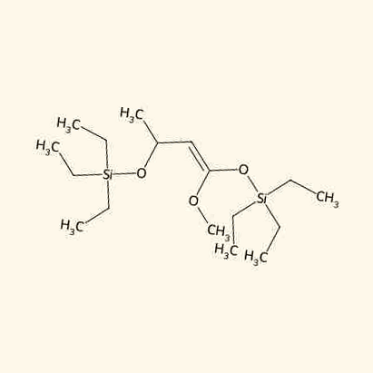 CC[Si](CC)(CC)O/C(=C/C(C)O[Si](CC)(CC)CC)OC